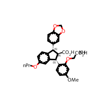 CCCOc1ccc2c(c1)[C@@H](c1ccc(OC)cc1OCC(=O)O)[C@H](C(=O)O)[C@H]2c1ccc2c(c1)OCO2.[KH]